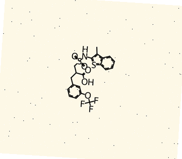 Cc1c(NS(=O)(=O)CC(Cc2cccc(OC(F)(F)F)c2)C(=O)O)sc2ccccc12